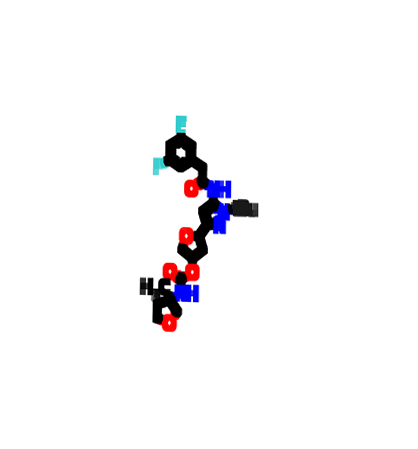 CC1(NC(=O)OC2COC(c3cc(NC(=O)Cc4cc(F)cc(F)c4)n(C(C)(C)C)n3)C2)CCOC1